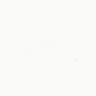 BNC(=O)CC1(CC(=O)N(B)B)CCN(C(=O)CCCCC(=O)C(C)C)CC1